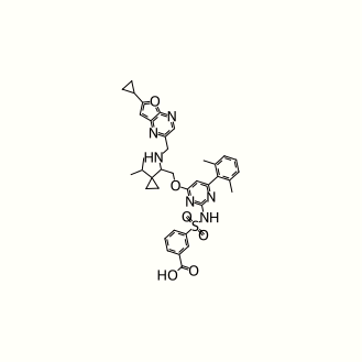 Cc1cccc(C)c1-c1cc(OCC(NCc2cnc3oc(C4CC4)cc3n2)C2(C(C)C)CC2)nc(NS(=O)(=O)c2cccc(C(=O)O)c2)n1